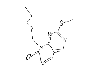 CCCCCn1c(=O)ccc2cnc(SC)nc21